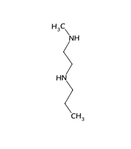 CCCNCCNC